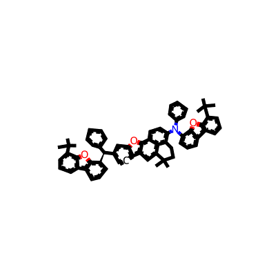 CC(C)(C)c1cccc2c1oc1c([C@@H](c3ccccc3)c3ccc4c(c3)oc3c5ccc(N(c6ccccc6)c6cccc7c6oc6c(C(C)(C)C)cccc67)c6c5c(cc43)C(C)(C)CC6)cccc12